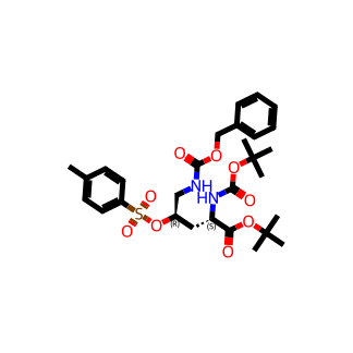 Cc1ccc(S(=O)(=O)O[C@@H](CNC(=O)OCc2ccccc2)C[C@H](NC(=O)OC(C)(C)C)C(=O)OC(C)(C)C)cc1